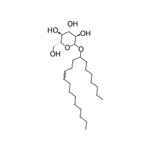 CCCCCCCC/C=C\CCC(CCCCCCC)OC1O[C@H](CO)[C@@H](O)[C@H](O)[C@H]1O